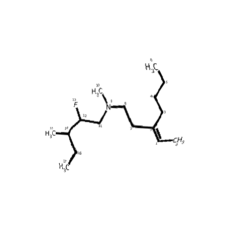 C/C=C(\CCCC)CCN(C)CC(F)C(C)CC